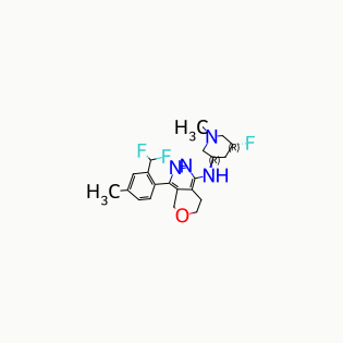 Cc1ccc(-c2nnc(N[C@@H]3C[C@@H](F)CN(C)C3)c3c2COCC3)c(C(F)F)c1